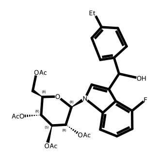 CCc1ccc(C(O)c2cn([C@@H]3O[C@H](COC(C)=O)[C@@H](OC(C)=O)[C@H](OC(C)=O)[C@H]3OC(C)=O)c3cccc(F)c23)cc1